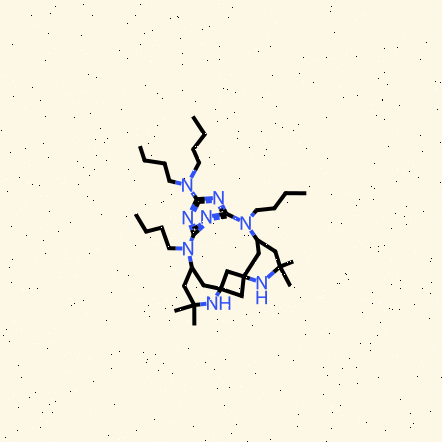 CCCCN(CCCC)c1nc2nc(n1)N(CCCC)C1CC(C)(C)NC3(C1)CC1(CC(CC(C)(C)N1)N2CCCC)C3